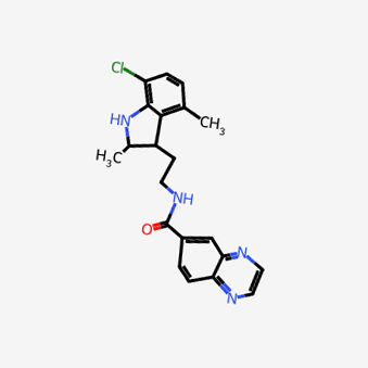 Cc1ccc(Cl)c2c1C(CCNC(=O)c1ccc3nccnc3c1)C(C)N2